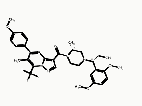 COc1ccc(-c2nc3c(C(=O)N4CCN([C@H](CO)c5cc(OC)ccc5OC)C[C@H]4C)cnn3c(C(F)(F)F)c2C)cc1